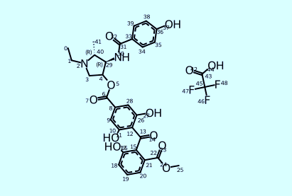 CCN1CC(OC(=O)c2cc(O)c(C(=O)c3c(O)cccc3C(=O)OC)c(O)c2)[C@H](NC(=O)c2ccc(O)cc2)[C@H]1C.O=C(O)C(F)(F)F